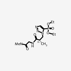 CCOP(=O)(OCC)c1cnnn1C[C@H](C)C(=O)NCC(=O)NC